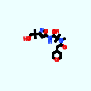 CN(C(=O)CC1CCOCC1)C(C)(C)C(O)Nc1cc(C(C)(C)CO)no1